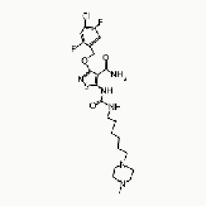 CN1CCN(CCCCCCNC(=O)Nc2snc(OCc3cc(F)c(Cl)cc3F)c2C(N)=O)CC1